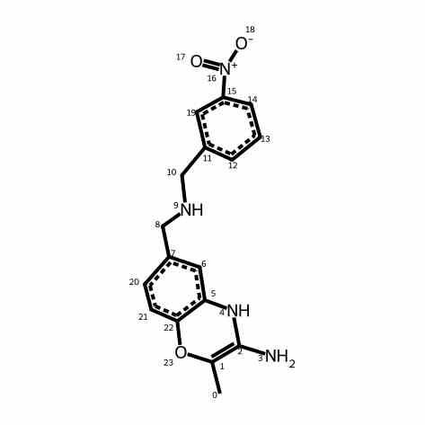 CC1=C(N)Nc2cc(CNCc3cccc([N+](=O)[O-])c3)ccc2O1